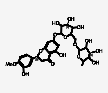 COc1ccc([C@@H]2CC(=O)c3c(O)cc(OC4OC(COC5OC(C)C(O)[C@H](O)C5O)C(O)[C@@H](O)C4O)cc3O2)cc1O